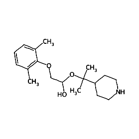 Cc1cccc(C)c1OCC(O)OC(C)(C)C1CCNCC1